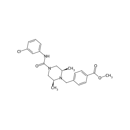 COC(=O)c1ccc(CN2[C@H](C)CN(C(=O)Nc3cccc(Cl)c3)C[C@@H]2C)cc1